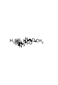 CCOC(=O)Cc1nnc(Sc2ncc(S(C)(=O)=O)s2)s1